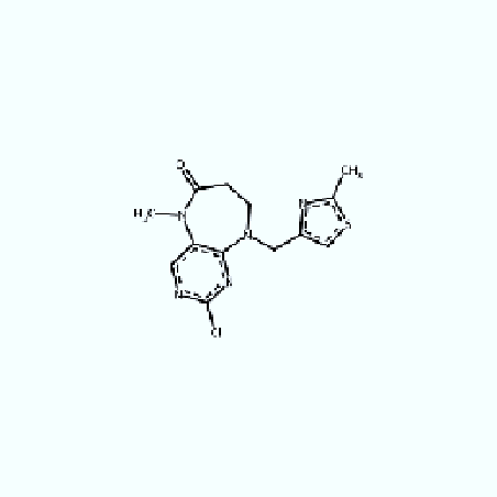 Cc1nc(CN2CCC(=O)N(C)c3cnc(Cl)nc32)cs1